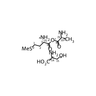 CSCC[C@H](N)C(=O)OC(=O)[C@H](C)N.N[C@@H](CO)C(=O)O